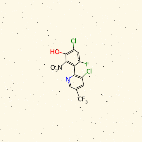 O=[N+]([O-])c1c(O)c(Cl)cc(F)c1-c1ncc(C(F)(F)F)cc1Cl